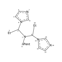 CCCCCN(C(CC)n1ccnc1)C(CC)n1ccnc1